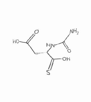 NC(=O)N[C@@H](CC(=O)O)C(O)=S